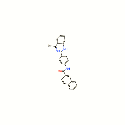 CCC(=N)c1ccccc1NCc1ccc(NC(=O)c2ccc3ccccc3c2)cc1